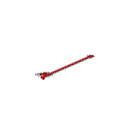 [CH2]c1ccc(NC(=O)OCCOCCOCCOCCOCCOCCOCCOCCOCCOCCOCCOCCOCCOCCOCCOCCOCCOCCOCCOCCOCCOCCOCCOCCC(=O)NCCCC[C@H](NC(=O)OCC2c3ccccc3-c3ccccc32)C(=O)N[C@H](C(=O)N[C@@H](C)CCCNC(N)=O)C(C)C)cc1